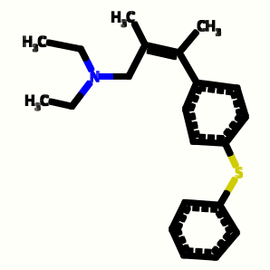 CCN(CC)CC(C)=C(C)c1ccc(Sc2ccccc2)cc1